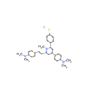 CN(C)c1ccc(/C=C/c2cc(-c3ccc(N(C)C)cc3)cc(-c3ccc(F)cc3)[n+]2C)cc1.[I-]